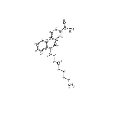 NCCCCOCCOc1nc2cc(C(=O)O)ccc2c2cncnc12